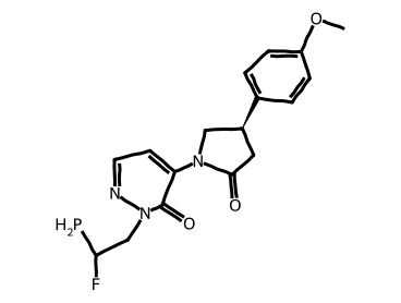 COc1ccc([C@H]2CC(=O)N(c3ccnn(CC(F)P)c3=O)C2)cc1